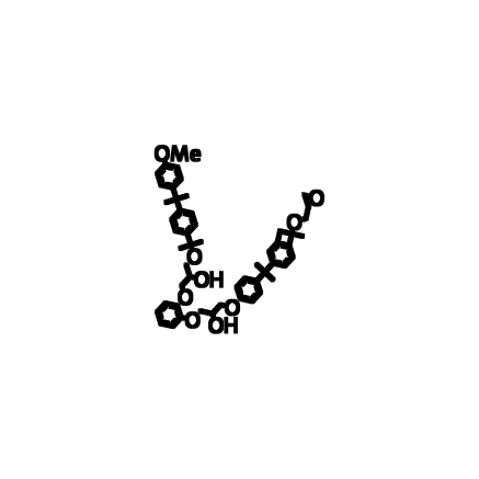 COc1ccc(C(C)(C)c2ccc(C(C)(C)OCC(O)COc3ccccc3OCC(O)COc3ccc(C(C)(C)c4ccc5c(c4)CC5(C)OCC4CO4)cc3)cc2)cc1